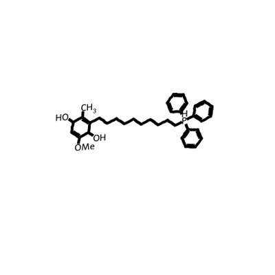 COC1=CC(O)C(C)=C(CCCCCCCCCC[PH](c2ccccc2)(c2ccccc2)c2ccccc2)C1O